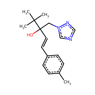 Cc1ccc(C=CC(O)(Cn2cncn2)C(C)(C)C)cc1